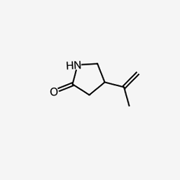 C=C(C)C1CNC(=O)C1